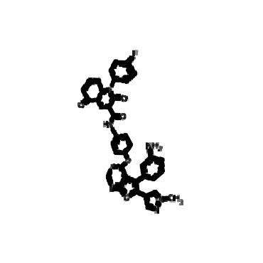 Cn1cc(-c2oc3ncnc(Oc4ccc(NC(=O)c5cc6c(n(-c7ccc(F)cc7)c5=O)CCCC6=O)cc4)c3c2-c2cccc(N)c2)cn1